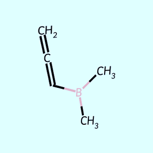 C=C=CB(C)C